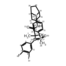 CC(C)(Oc1ccc(F)c(F)c1)C(=O)NC1CC2CCC(C1)N2c1ccc(S(C)(=O)=O)cc1